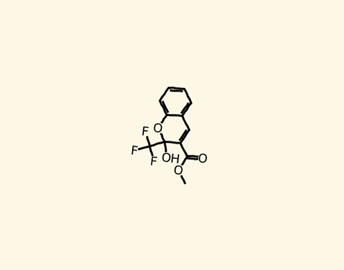 COC(=O)C1=Cc2ccccc2OC1(O)C(F)(F)F